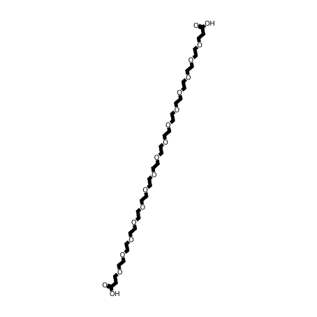 O=C(O)CCOCCOCCOCCOCCOCCOCCOCCOCCOCCOCCOCCOCCOCCOCCOCCC(=O)O